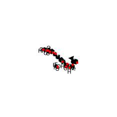 COc1cc(N2CC3(CCN(C4CN(C5CN(c6ccc7c(c6)C(=O)N(C6CCC(=O)NC6=O)C7=O)C5)C4)CC3)C2)ccc1Nc1nccc(-c2cn(C3CC3)c3ccccc23)n1.O=C(O)C(F)(F)F